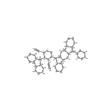 N#Cc1ccc(-n2c3ccccc3c3cc4c(cc32)c2ccccc2n4-c2ccccc2)c(C#N)c1-n1c2ccccc2c2ccccc21